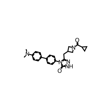 CN(C)c1ccc(-c2ccc(-n3c(CC4CN(C(=O)C5CC5)C4)n[nH]c3=O)cc2)cc1